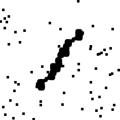 C=CC(=O)OCCCCCCOc1ccc(C(=O)Oc2ccc(-c3ccc4cc(OC(=O)c5ccc(OCCCCCCOC(=O)C=C)cc5)ccc4c3)cc2)cc1